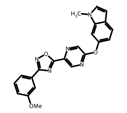 COc1cccc(-c2noc(-c3cnc(Oc4ccc5c[c]n(C)c5c4)cn3)n2)c1